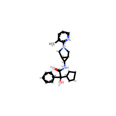 Cc1cccnc1N1CC2C(C1)C2NC(=O)C(O)(c1ccccc1)C1CCCC1